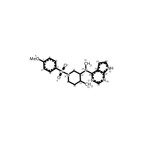 COc1ccc(S(=O)(=O)N2CCC(C)C(N(C)c3ncnc4[nH]ccc34)C2)cc1